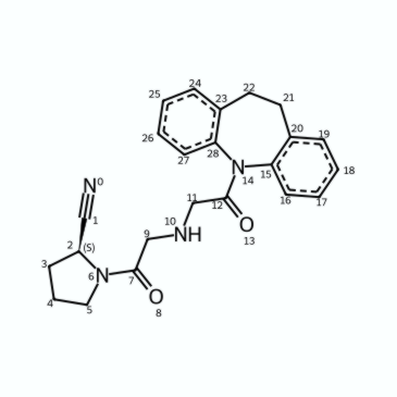 N#C[C@@H]1CCCN1C(=O)CNCC(=O)N1c2ccccc2CCc2ccccc21